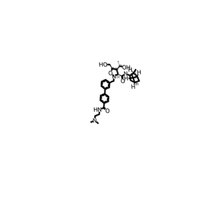 C[C@H](O)[C@@H]1[C@H](CO)ON(Cc2cccc(-c3ccc(C(=O)NCCN(C)C)cc3)c2)[C@@H]1C(=O)NC1C[C@H]2C[C@@H]([C@@H]1C)C2(C)C